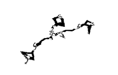 C(C[S][Sb]([S]CCSC1CSC1)[S]C1CSC1)SC1CSC1